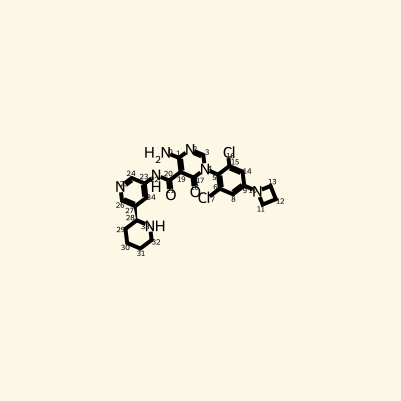 Nc1ncn(-c2c(Cl)cc(N3CCC3)cc2Cl)c(=O)c1C(=O)Nc1cncc([C@@H]2CCCCN2)c1